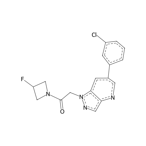 O=C(Cn1ncc2ncc(-c3cccc(Cl)c3)cc21)N1CC(F)C1